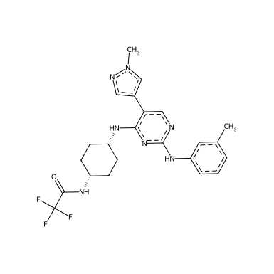 Cc1cccc(Nc2ncc(-c3cnn(C)c3)c(N[C@H]3CC[C@@H](NC(=O)C(F)(F)F)CC3)n2)c1